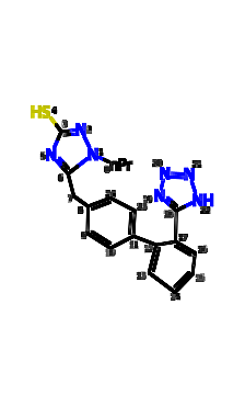 CCCn1nc(S)nc1Cc1ccc(-c2ccccc2-c2nnn[nH]2)cc1